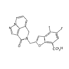 Cc1c(F)cc(C(=O)O)c2oc(CN3Cc4cccn5ncc(c45)C3=O)cc12